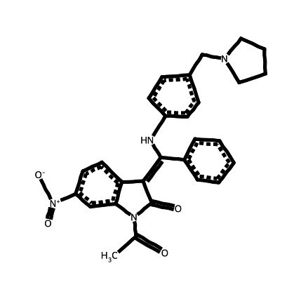 CC(=O)N1C(=O)C(=C(Nc2ccc(CN3CCCC3)cc2)c2ccccc2)c2ccc([N+](=O)[O-])cc21